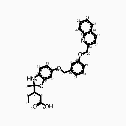 CCC(CC(=O)O)C1(C)Nc2ccc(OCc3cccc(OCc4ccc5ccccc5n4)c3)cc2O1